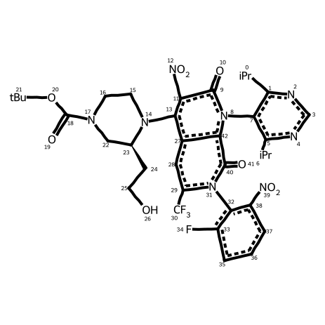 CC(C)c1ncnc(C(C)C)c1-n1c(=O)c([N+](=O)[O-])c(N2CCN(C(=O)OC(C)(C)C)C[C@@H]2CCO)c2cc(C(F)(F)F)n(-c3c(F)cccc3[N+](=O)[O-])c(=O)c21